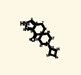 O=C1c2n[nH]cc2CCC12CCN(C1CCC1)CC2